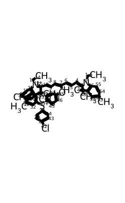 CCN1/C(=C/C=C/C(=C/C=C/C2=[N+](CC)c3ccc(C)cc3C2(C)C)Oc2ccc([S+](c3ccc(Cl)cc3)c3ccc(Cl)cc3)cc2)C(C)(C)c2cc(C)ccc21